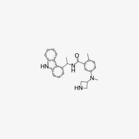 Cc1ccc(N(C)C2CNC2)cc1C(=O)NC(C)c1cccc2[nH]c3ccccc3c12